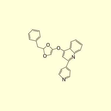 C1=C(Oc2cc(-c3ccncc3)nc3ccccc23)OC(Cc2ccccc2)O1